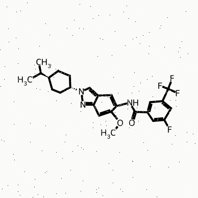 COc1cc2nn([C@H]3CC[C@H](C(C)C)CC3)cc2cc1NC(=O)c1cc(F)cc(C(F)(F)F)c1